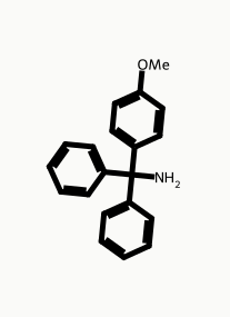 COc1ccc(C(N)(c2ccccc2)c2ccccc2)cc1